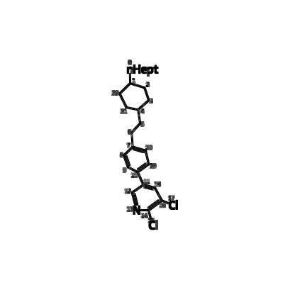 CCCCCCCC1CCC(CCc2ccc(-c3cnc(Cl)c(Cl)c3)cc2)CC1